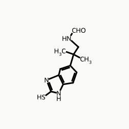 CC(C)(CNC=O)c1ccc2[nH]c(S)nc2c1